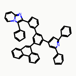 c1ccc(-c2cc(-c3cc(-c4cccc(-c5nc6ccccn6c5-c5ccccc5)c4)cc(-c4cc5ccccc5c5ccccc45)c3)cc(-c3ccccc3)n2)cc1